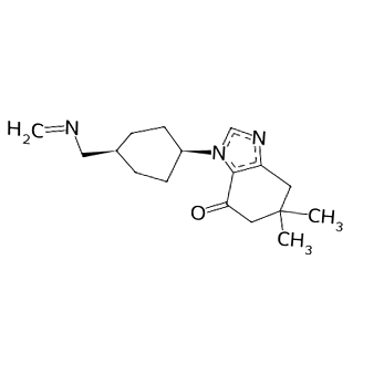 C=NC[C@H]1CC[C@@H](n2cnc3c2C(=O)CC(C)(C)C3)CC1